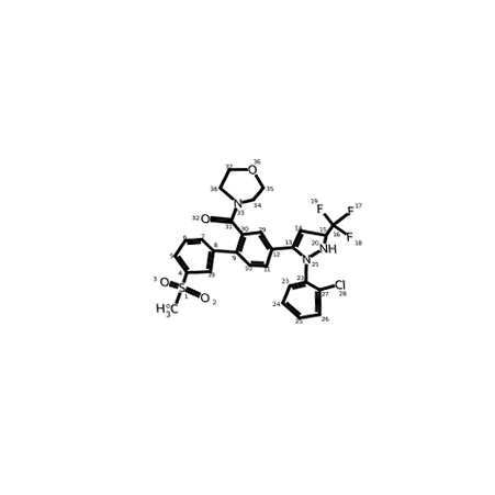 CS(=O)(=O)c1cccc(-c2ccc(C3=CC(C(F)(F)F)NN3c3ccccc3Cl)cc2C(=O)N2CCOCC2)c1